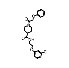 O=C(NCCOc1cccc(Cl)c1)C1CCN(C(=O)COc2ccccc2)CC1